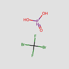 FC(F)(Br)Br.O=[PH](O)O